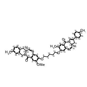 COc1cc2c(cc1OCCCCCOc1cc3c(cc1C)C(=O)N1C=C(c4ccc(C)cc4)C[C@H]1C=N3)N=C[C@@H]1Cc3ccc(C)cc3CN1C2=O